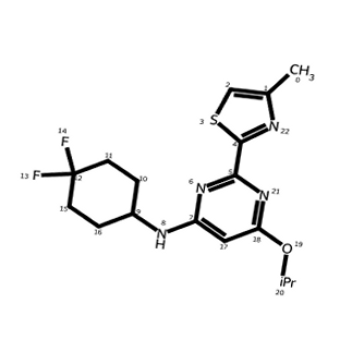 Cc1csc(-c2nc(NC3CCC(F)(F)CC3)cc(OC(C)C)n2)n1